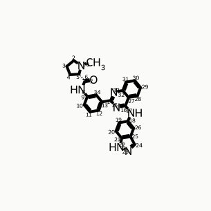 CN1CCC[C@H]1C(=O)Nc1cccc(-c2nc(Nc3ccc4[nH]ncc4c3)c3ccccc3n2)c1